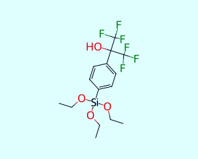 CCO[Si](OCC)(OCC)c1ccc(C(O)(C(F)(F)F)C(F)(F)F)cc1